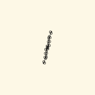 C=CC(=O)OCCCCOC(=O)Oc1ccc(C(=O)Oc2ccc(C(=O)O[C@H]3CC[C@H]4[C@@H]3CC[C@H]4OC(=O)c3ccc(OC(=O)c4ccc(OC(=O)OCCCCOC(=O)C=C)cc4)cc3)cc2)cc1